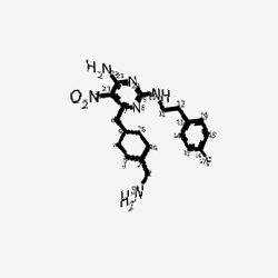 NCC1CCC(Cc2nc(NCCc3ccc(F)cc3)nc(N)c2[N+](=O)[O-])CC1